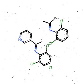 CC(=Nc1c(Cl)cccc1Cl)c1cccnc1.C[C]([Fe+])=Nc1c(Cl)cccc1Cl.[Cl-]